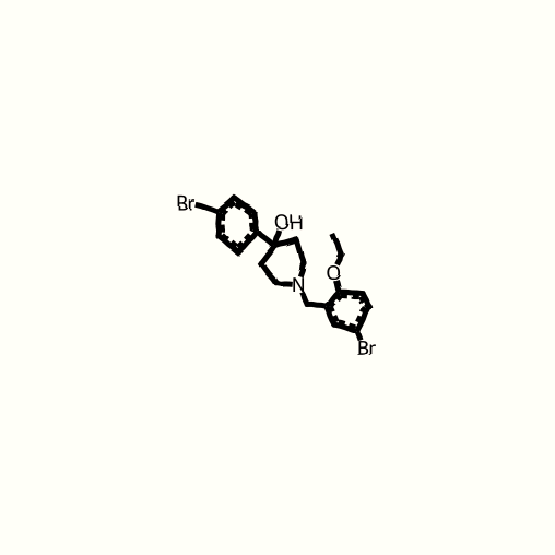 CCOc1ccc(Br)cc1CN1CCC(O)(c2ccc(Br)cc2)CC1